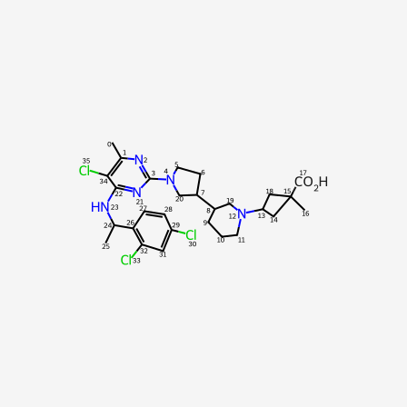 Cc1nc(N2CCC(C3CCCN(C4CC(C)(C(=O)O)C4)C3)C2)nc(NC(C)c2ccc(Cl)cc2Cl)c1Cl